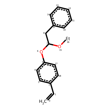 C=Cc1ccc(OC(Cc2ccccc2)OCC)cc1